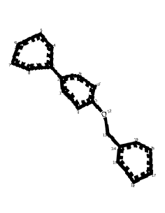 [c]1cc(-c2ccccc2)ccc1OCc1ccccc1